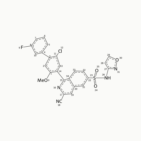 COc1cc(-c2cccc(F)c2)c(Cl)cc1-c1nc(C#N)cc2cc(S(=O)(=O)Nc3ccon3)ccc12